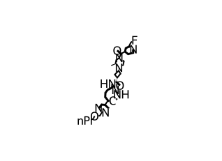 CCCOCc1ncc(-c2cccc(NC(=O)[C@H]3C[C@@H](N4CCN(C(=O)c5ccnc(CF)c5)C[C@@H]4C)C3)n[nH]cc2)cn1